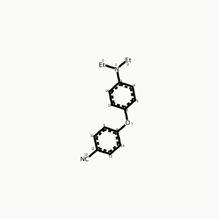 CCN(CC)c1ccc(Oc2ccc(C#N)cc2)cc1